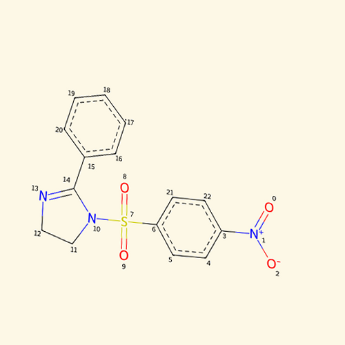 O=[N+]([O-])c1ccc(S(=O)(=O)N2CCN=C2c2c[c]ccc2)cc1